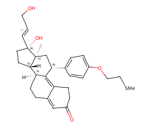 CSCCOc1ccc([C@H]2C[C@@]3(C)[C@@H](CC[C@@]3(O)/C=C/CO)[C@@H]3CCC4=CC(=O)CCC4=C32)cc1